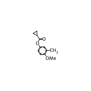 COc1ccc(OC(=O)C2CC2)cc1C